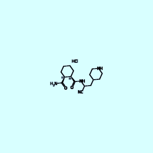 Cl.N#CC(CC1CCNCC1)NC(=O)[C@@H]1CCCC[C@@H]1C(N)=O